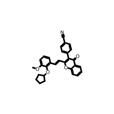 COc1cccc(/C=C/c2oc3ccccc3c(=O)c2-c2ccc(C#N)cc2)c1OC1CCCC1